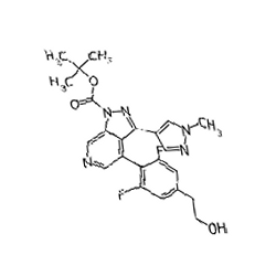 Cn1cc(-c2nn(C(=O)OC(C)(C)C)c3cncc(-c4c(F)cc(CCO)cc4F)c23)cn1